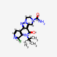 CC(C)(C)NC(=O)c1c(-c2ccnc(F)c2)nn2c1CN(C(N)=O)CC2